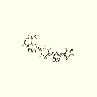 O=C(Cc1c(Cl)cccc1Cl)N1CCC(c2nc(-c3cccs3)no2)CC1